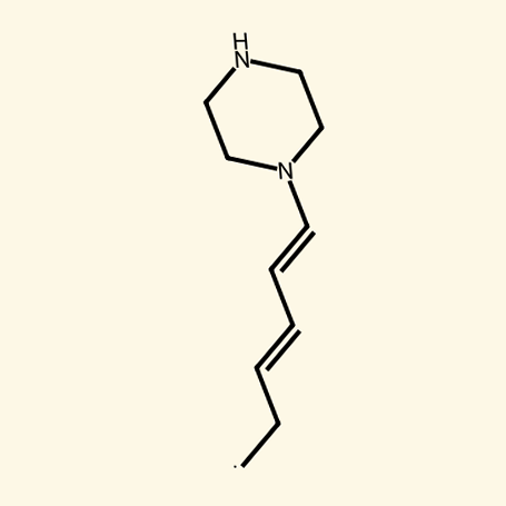 [CH2]CC=CC=CN1CCNCC1